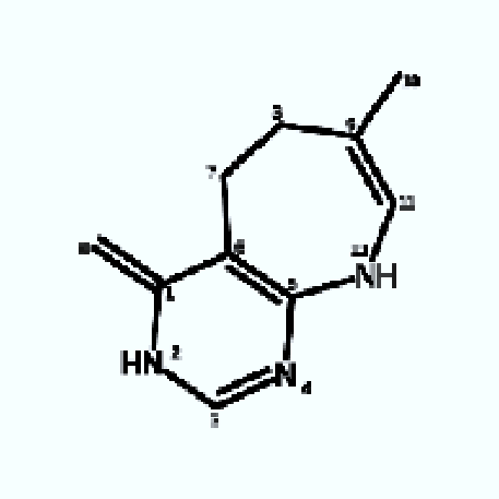 C=C1NC=NC2=C1CCC(C)=CN2